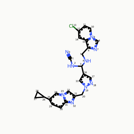 N#CNC(NCc1ncn2ccc(Cl)cc12)c1cnn(Cc2cn3cc(C4CC4)ccc3n2)c1